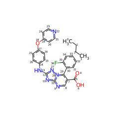 CCCC.O=C(O)c1cnc2nc(Nc3ccc(Oc4ccncc4)cc3)nn2c1-c1ccccc1F